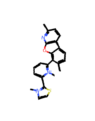 Cc1ccc2c(n1)oc1c(-c3cccc(-c4scc[n+]4C)[n+]3C)c(C)ccc12